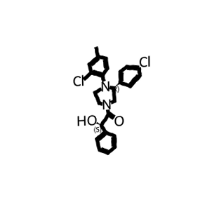 Cc1ccc(N2CCN(C(=O)[C@@H](O)c3ccccc3)C[C@H]2c2ccc(Cl)cc2)c(Cl)c1